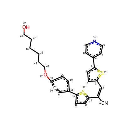 N#CC(=Cc1ccc(-c2ccncc2)s1)c1ccc(-c2ccc(OCCCCCCO)cc2)s1